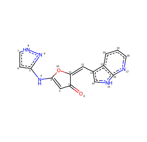 O=C1C=C(Nc2cc[nH]n2)O/C1=C/c1c[nH]c2ncccc12